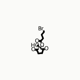 O=C(CCCBr)O[N+]1(O)C(=O)CCC1=O